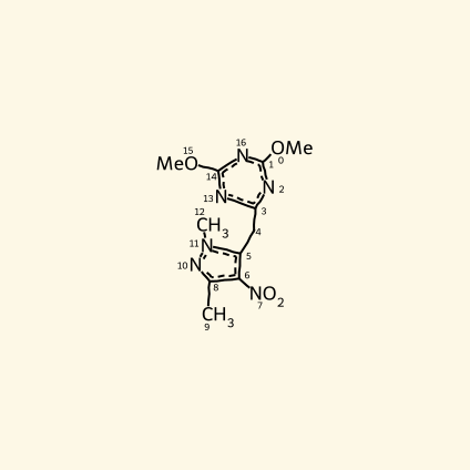 COc1nc(Cc2c([N+](=O)[O-])c(C)nn2C)nc(OC)n1